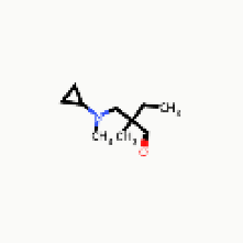 CCC(C)(C=O)CN(C)C1CC1